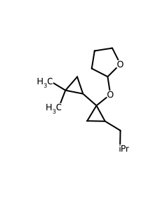 CC(C)CC1CC1(OC1CCCO1)C1CC1(C)C